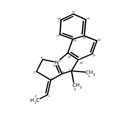 C/C=C1\CC[N+]2=C1C(C)(C)c1ccc3ccccc3c12